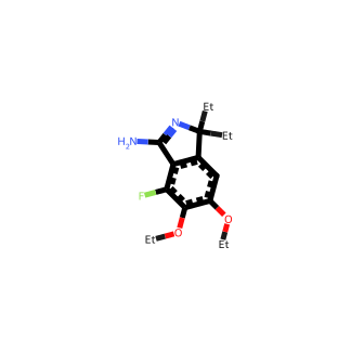 CCOc1cc2c(c(F)c1OCC)C(N)=NC2(CC)CC